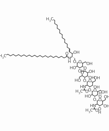 CCCCCCCCCCCCC/C=C/[C@@H](O)[C@H](CO[C@@H]1OC(CO)[C@@H](O[C@@H]2OC(CO)[C@H](O[C@@H]3OC(CO)[C@H](O)[C@H](O[C@@H]4OC(CO)[C@H](O)[C@H](O[C@@H]5OC(CO)[C@H](O)[C@H](O)C5NC(C)=O)C4O)C3NC(C)=O)[C@H](O)C2O)[C@H](O)C1O)NC(=O)CCCCCCCCCCCCCCCCCCCCCCC